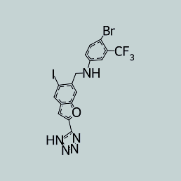 FC(F)(F)c1cc(NCc2cc3oc(-c4nnn[nH]4)cc3cc2I)ccc1Br